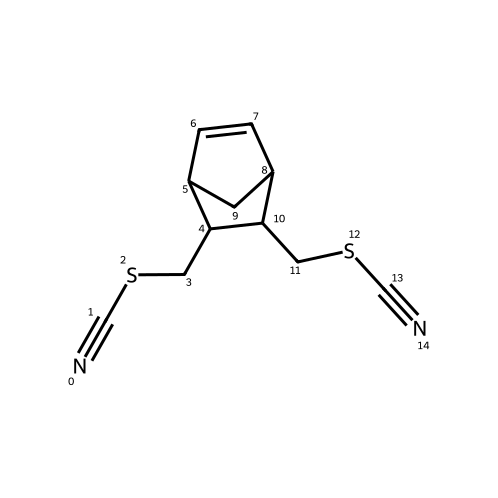 N#CSCC1C2C=CC(C2)C1CSC#N